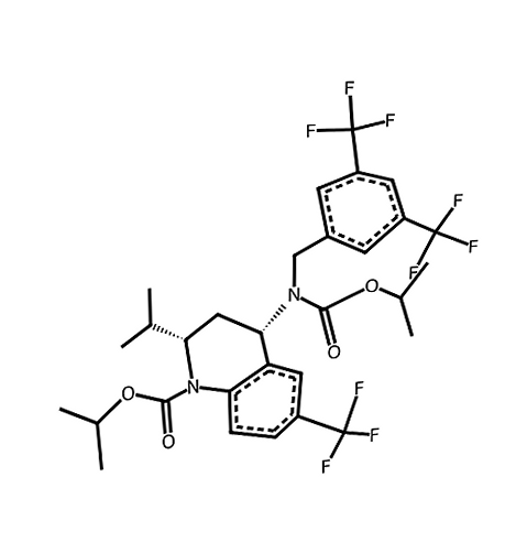 CC(C)OC(=O)N(Cc1cc(C(F)(F)F)cc(C(F)(F)F)c1)[C@H]1C[C@@H](C(C)C)N(C(=O)OC(C)C)c2ccc(C(F)(F)F)cc21